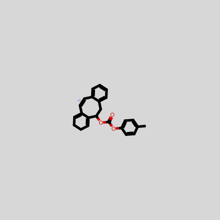 Cc1ccc(OC(=O)OC2Cc3ccccc3/C=C\C3=CCCC=C32)cc1